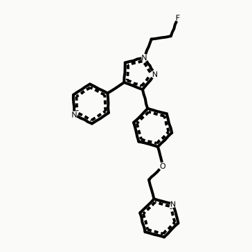 FCCn1cc(-c2ccncc2)c(-c2ccc(OCc3ccccn3)cc2)n1